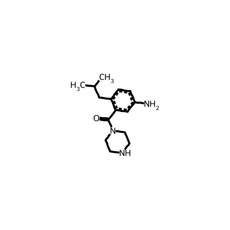 CC(C)Cc1ccc(N)cc1C(=O)N1CCNCC1